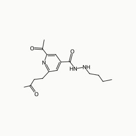 CCCCNNC(=O)c1cc(CCC(C)=O)nc(C(C)=O)c1